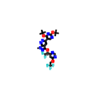 Cn1nc(O[C@H](c2cc(OCC(F)(F)F)ncn2)C(F)F)c2cc(-c3cnc(OC(C)(C)C)nc3OC(C)(C)C)nnc21